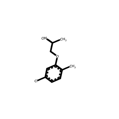 Cc1ccc(Cl)cc1OCC(C)N=O